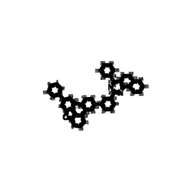 c1ccc(-c2cc3oc4cccc5c6cc(-c7cccc(-c8nc(-c9ccccc9)c9ccc%10ccccc%10c9n8)c7)ccc6c(c2)c3c45)cc1